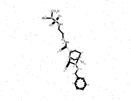 CC(C)(C)N(C(=O)O)S(=O)(=O)NCCONC(=O)[C@@H]1CC[C@@H]2CN1C(=O)N2OCc1ccccc1